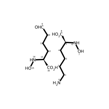 NCCCC[C@H](NO)C(=O)O.O=CCCC[C@H](NO)C(=O)O